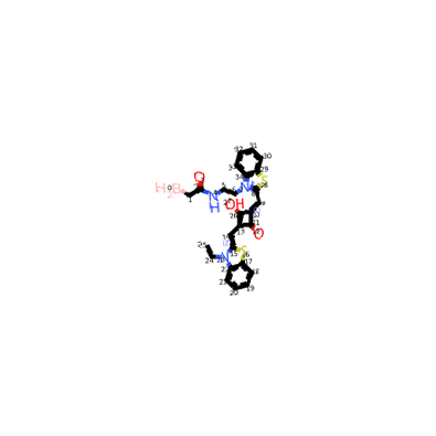 BCC(=O)NCC[n+]1c(/C=C2/C(=O)C(/C=C3\Sc4ccccc4N3CC)=C2O)sc2ccccc21